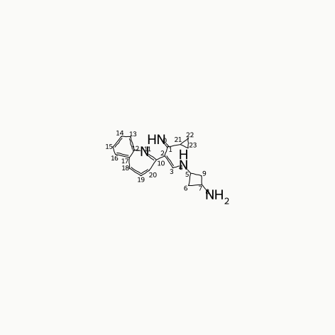 N=C(/C(=C\NC1CC(N)C1)C1=Nc2ccccc2C=C=C1)C1CC1